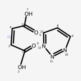 O=C(O)/C=C\C(=O)O.c1cnnnc1